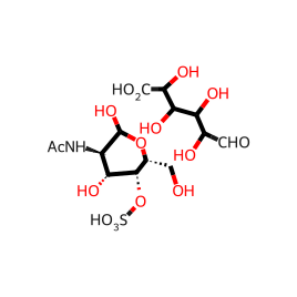 CC(=O)N[C@H]1C(O)O[C@H](CO)[C@H](OS(=O)(=O)O)[C@@H]1O.O=CC(O)C(O)C(O)C(O)C(=O)O